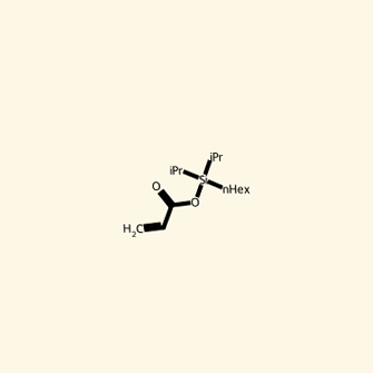 C=CC(=O)O[Si](CCCCCC)(C(C)C)C(C)C